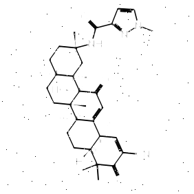 Cn1ccc(C(=O)N[C@@]2(C)CC[C@]3(C)CC[C@@]4(C)[C@]5(C)CC[C@H]6C(C)(C)C(=O)C(C#N)=C[C@]6(C)C5=CC(=O)[C@]4(O)[C@@H]3C2)n1